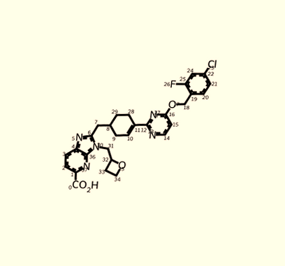 O=C(O)c1ccc2nc(CC3CC=C(c4nccc(OCc5ccc(Cl)cc5F)n4)CC3)n(CC3CCO3)c2n1